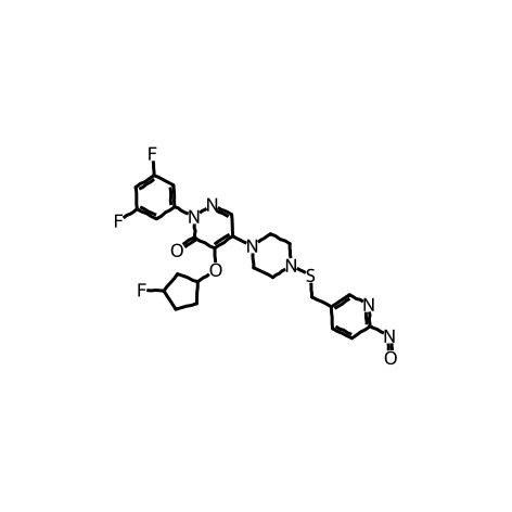 O=Nc1ccc(CSN2CCN(c3cnn(-c4cc(F)cc(F)c4)c(=O)c3OC3CCC(F)C3)CC2)cn1